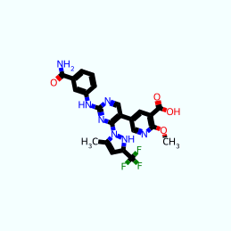 COc1ncc(-c2cnc(Nc3cccc(C(N)=O)c3)nc2N2NC(C(F)(F)F)C=C2C)cc1C(=O)O